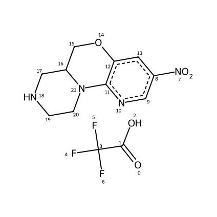 O=C(O)C(F)(F)F.O=[N+]([O-])c1cnc2c(c1)OCC1CNCCN21